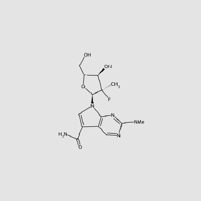 CNc1ncc2c(C(N)=O)cn([C@H]3OC(CO)[C@@H](O)[C@@]3(C)F)c2n1